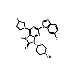 Cn1c(=O)n([C@H]2CC[C@H](O)CC2)c2nc(-n3cnc4ccc(Cl)cc43)nc(N3CC[C@@H](F)C3)c21